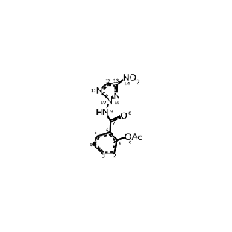 CC(=O)Oc1ccccc1C(=O)Nn1ncc([N+](=O)[O-])n1